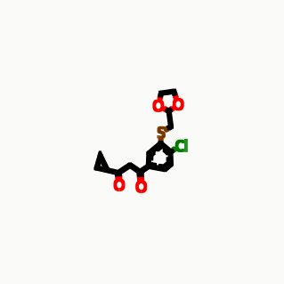 O=C(CC(=O)C1CC1)c1ccc(Cl)c(SCC2OCCO2)c1